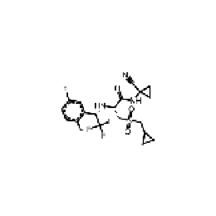 N#CC1(NC(=O)[C@H](CS(=O)(=O)CC2CC2)N[C@@H](c2cc(F)ccc2F)C(F)(F)F)CC1